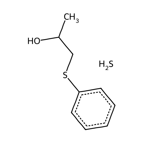 CC(O)CSc1ccccc1.S